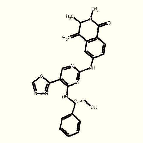 C=C1c2cc(Nc3ncc(-c4nnco4)c(N[C@H](CO)c4ccccc4)n3)ccc2C(=O)N(C)C1C